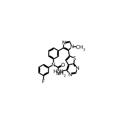 Cn1cnc(-c2cccc(N(C(N)=O)c3cccc(F)c3)c2)c1-c1cc2c(N)ncnc2s1